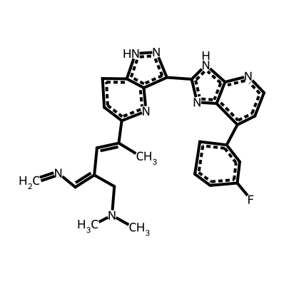 C=N/C=C(\C=C(/C)c1ccc2[nH]nc(-c3nc4c(-c5cccc(F)c5)ccnc4[nH]3)c2n1)CN(C)C